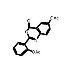 CC(=O)Oc1ccc2nc(-c3ccccc3OC(C)=O)oc(=O)c2c1